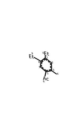 CCc1cc(C)c(C(C)=O)cc1CC